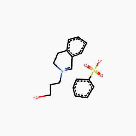 O=S(=O)([O-])c1ccccc1.OCCC[N+]1=Cc2ccccc2CC1